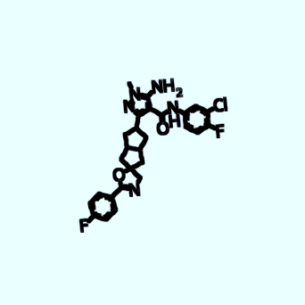 Cn1nc(C2CC3CC4(CN=C(c5ccc(F)cc5)O4)CC3C2)c(C(=O)Nc2ccc(F)c(Cl)c2)c1N